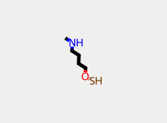 CNCCCCOS